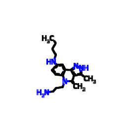 C=C1c2c(n[nH]c2C)-c2cc(NCCCC)ccc2N1CCCN